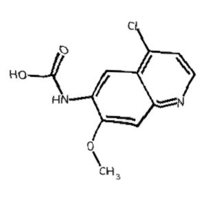 COc1cc2nccc(Cl)c2cc1NC(=O)O